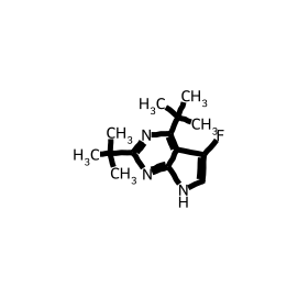 CC(C)(C)c1nc(C(C)(C)C)c2c(F)c[nH]c2n1